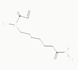 C=CC(=O)B(C)CCCCCCC(=O)N(C)C